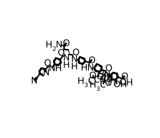 CC(C)Oc1c(NC(=O)c2ccc(NC(=O)c3ccc(NC(=O)[C@H](CCC(N)=O)NC(=O)c4ccc(NC(=O)c5ccc(C#N)cn5)cc4)cc3)c(OC(C)C)c2O)ccc(C(=O)O)c1O